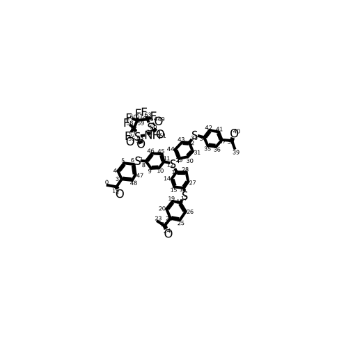 CC(=O)c1ccc(Sc2ccc([S+](c3ccc(Sc4ccc(C(C)=O)cc4)cc3)c3ccc(Sc4ccc(C(C)=O)cc4)cc3)cc2)cc1.O=S1(=O)NS(=O)(=O)C(F)(F)C(F)(F)C1(F)F